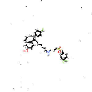 CN(CCCCCCC1=C(c2ccc(F)cc2)CCCc2cc(O)ccc21)CCCS(=O)(=O)CC1CCC(F)(F)CC1